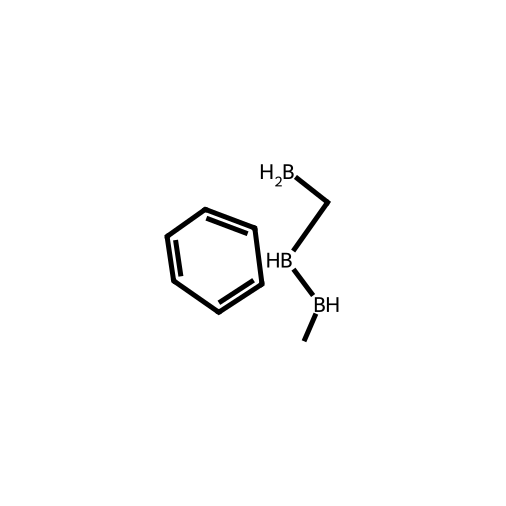 BCBBC.c1ccccc1